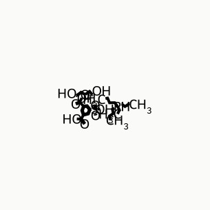 CCCC[PH](CC)(CCCC)CCCC.O=C(O)c1cc(C(=O)O)cc(S(=O)(=O)O)c1.OCCOCCO